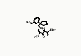 C=Cc1cccc(C2(Cn3cc(O)c(=O)c(C(=O)NC)n3)CCCC2)c1